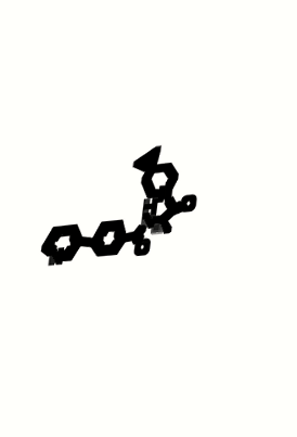 C[C@@H](NC(=O)c1ccc(-c2cccnc2)cc1)C(=O)N1CCC2(CC1)CC2